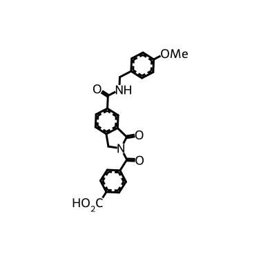 COc1ccc(CNC(=O)c2ccc3c(c2)C(=O)N(C(=O)c2ccc(C(=O)O)cc2)C3)cc1